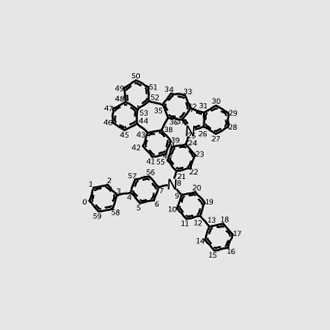 c1ccc(-c2ccc(N(c3ccc(-c4ccccc4)cc3)c3ccc(-n4c5ccccc5c5ccc6c(c54)-c4ccccc4-c4cccc5cccc-6c45)cc3)cc2)cc1